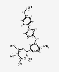 CS[C@H]1OC(c2ccc(C)c(Cc3ccc(-c4ccc(CO)cc4)s3)c2)[C@H](O)[C@@H](O)[C@@H]1O